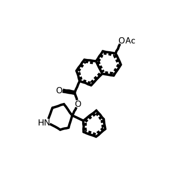 CC(=O)Oc1ccc2cc(C(=O)OC3(c4ccccc4)CCNCC3)ccc2c1